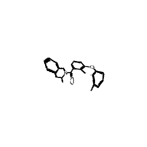 Cc1[c]c(Oc2cccc(C(=O)N3Cc4ccccc4CC3C)c2C)ccc1